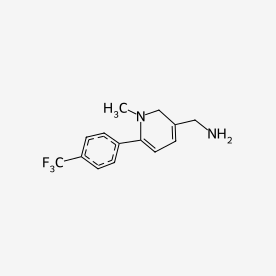 CN1CC(CN)=CC=C1c1ccc(C(F)(F)F)cc1